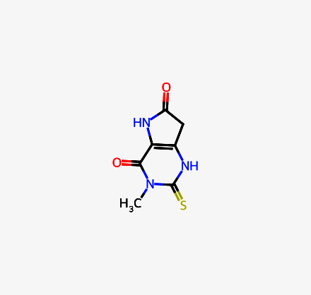 Cn1c(=S)[nH]c2c(c1=O)NC(=O)C2